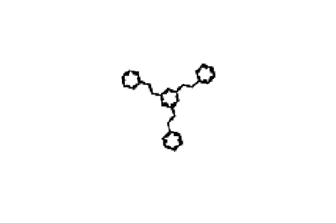 c1ccc(CCc2cc(CCc3ccccc3)cc(CCc3ccccc3)c2)cc1